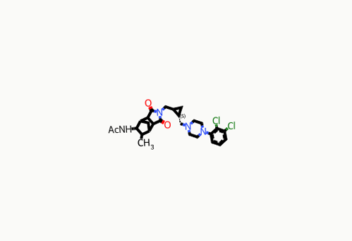 CC(=O)NC1C(C)C2CC1C1C(=O)N(CC3C[C@@H]3CN3CCN(c4cccc(Cl)c4Cl)CC3)C(=O)C21